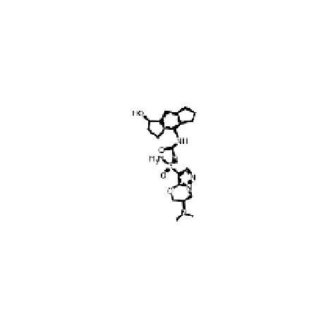 CN(C)C1COc2c(S(N)(=O)=NC(=O)Nc3c4c(cc5c3CCC5O)CCC4)cnn2C1